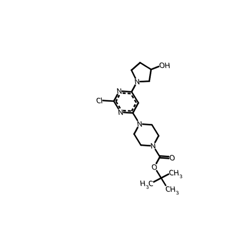 CC(C)(C)OC(=O)N1CCN(c2cc(N3CCC(O)C3)nc(Cl)n2)CC1